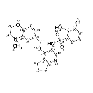 Cc1c(Cl)cccc1S(=O)(=O)Nc1cnc2c(c1OCc1ccc3c(c1)N(C)CCO3)CCC2